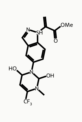 C=C(C(=O)OC)[SH]1N=Cc2cc(N3C(O)C=C(C(F)(F)F)N(C)C3O)ccc21